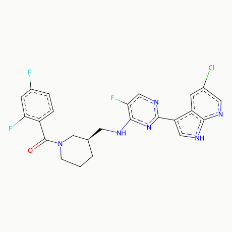 O=C(c1ccc(F)cc1F)N1CCC[C@H](CNc2nc(-c3c[nH]c4ncc(Cl)cc34)ncc2F)C1